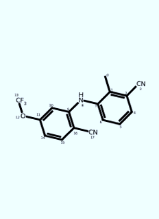 Cc1c(C#N)cccc1Nc1cc(OC(F)(F)F)ccc1C#N